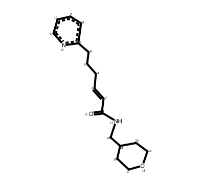 O=C(/C=C/CCCc1ccccn1)NCC1CCOCC1